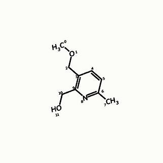 COCc1ccc(C)nc1CO